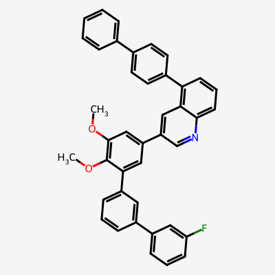 COc1cc(-c2cnc3cccc(-c4ccc(-c5ccccc5)cc4)c3c2)cc(-c2cccc(-c3cccc(F)c3)c2)c1OC